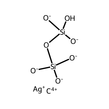 [Ag+].[C+4].[O-][Si]([O-])([O-])O[Si]([O-])([O-])O